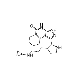 O=c1[nH]c2[nH]nc(C3NCCC3CCCNC3CC3)c2c2c1CCCC2